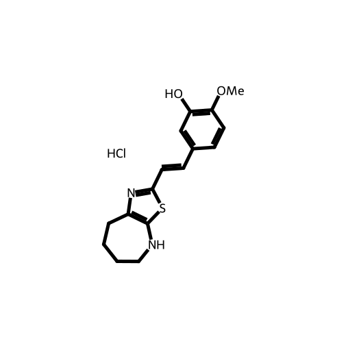 COc1ccc(/C=C/c2nc3c(s2)NCCCC3)cc1O.Cl